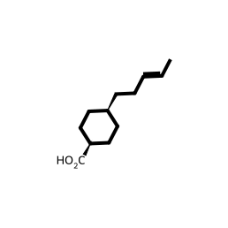 CC=CCC[C@H]1CC[C@@H](C(=O)O)CC1